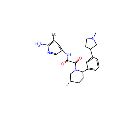 CCc1cc(NC(=O)C(=O)N2C[C@@H](C)CC[C@@H]2c2cccc(C3CCN(C)C3)c2)cnc1N